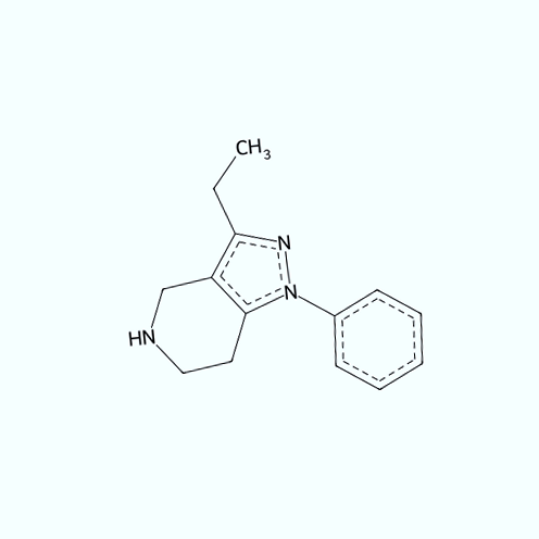 CCc1nn(-c2ccccc2)c2c1CNCC2